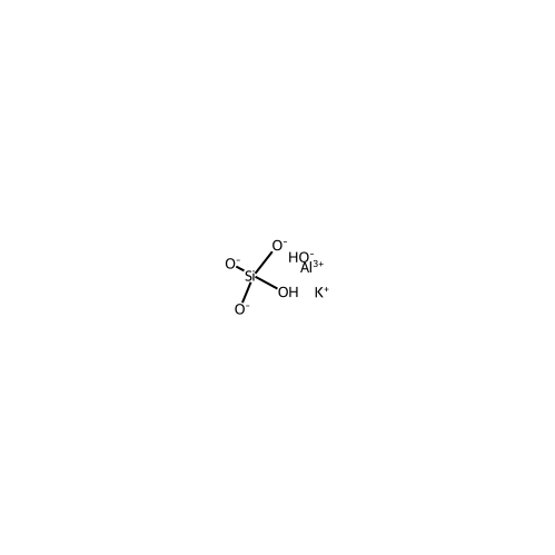 [Al+3].[K+].[O-][Si]([O-])([O-])O.[OH-]